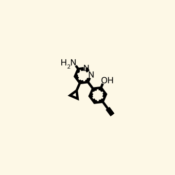 C#Cc1ccc(-c2nnc(N)cc2C2CC2)c(O)c1